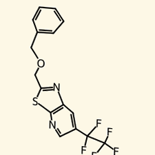 FC(F)(F)C(F)(F)c1cnc2sc(COCc3ccccc3)nc2c1